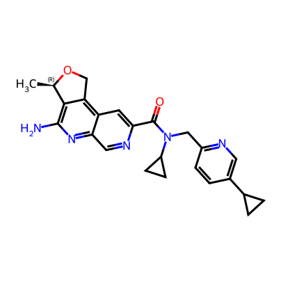 C[C@H]1OCc2c1c(N)nc1cnc(C(=O)N(Cc3ccc(C4CC4)cn3)C3CC3)cc21